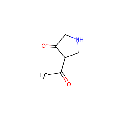 CC(=O)C1CNCC1=O